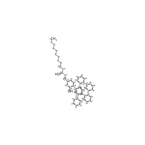 CCCCCCCCCOCC(O)COc1ccc(-c2nc(-c3ccccc3-c3ccccc3)nc(-c3ccccc3-c3ccccc3)n2)c(O)c1